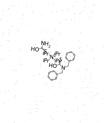 CC(C)[N+](C(C)C)(C(C)C)C(C)C.NC(O)=S.OC(=S)N(Cc1ccccc1)Cc1ccccc1